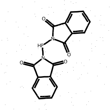 O=C1c2ccccc2C(=O)N1PN1C(=O)c2ccccc2C1=O